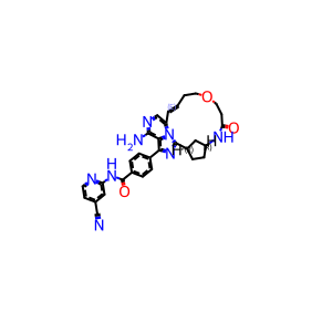 N#Cc1ccnc(NC(=O)c2ccc(-c3nc4n5c(cnc(N)c35)/C=C/CCOCCC(=O)N[C@@H]3CC[C@@H]4C3)cc2)c1